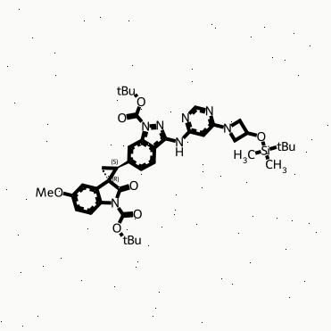 COc1ccc2c(c1)[C@]1(C[C@H]1c1ccc3c(Nc4cc(N5CC(O[Si](C)(C)C(C)(C)C)C5)ncn4)nn(C(=O)OC(C)(C)C)c3c1)C(=O)N2C(=O)OC(C)(C)C